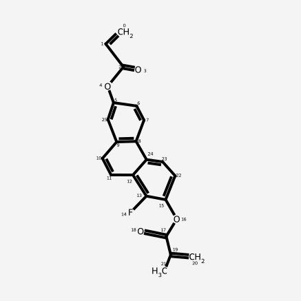 C=CC(=O)Oc1ccc2c(ccc3c(F)c(OC(=O)C(=C)C)ccc32)c1